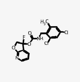 Cc1cc(Cl)cc(Cl)c1CNC(=O)OC1(F)COc2ncccc21